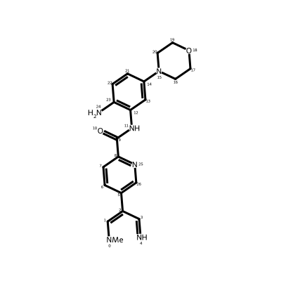 CN/C=C(\C=N)c1ccc(C(=O)Nc2cc(N3CCOCC3)ccc2N)nc1